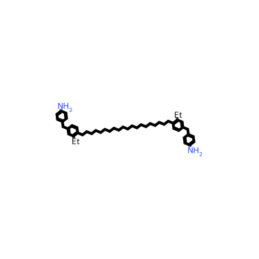 CCc1cc(Cc2ccc(N)cc2)ccc1CCCCCCCCCCCCCCCCCCCCc1ccc(Cc2ccc(N)cc2)cc1CC